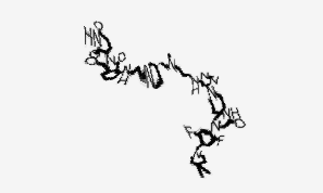 CN(CCCNc1cc(N2CCC3(CC2)CN(c2cc(F)c(CN4CCC(C)(C)CC4)cc2F)CC(=O)N3)ncn1)CC[C@@H]1CCN(CCCNc2cccc3c2C(=O)N(C2CCC(=O)NC2=O)C3=O)C1